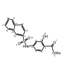 COC(=O)c1ccc(NS(=O)(=O)c2ccc3ccccc3c2)cc1O